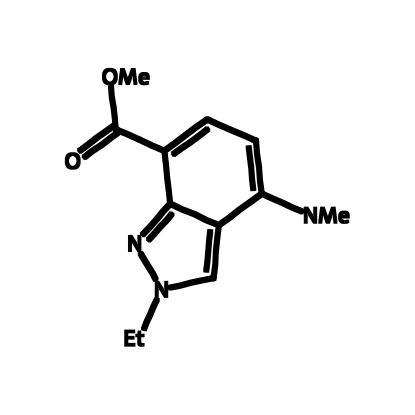 CCn1cc2c(NC)ccc(C(=O)OC)c2n1